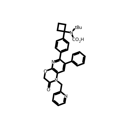 CC(C)(C)N(C(=O)O)C1(c2ccc(-c3nc4c(cc3-c3ccccc3)N(Cc3ccccn3)C(=O)CO4)cc2)CCC1